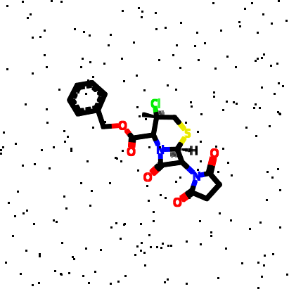 C[C@@]1(Cl)CS[C@H]2C(N3C(=O)CCC3=O)C(=O)N2C1C(=O)OCc1ccccc1